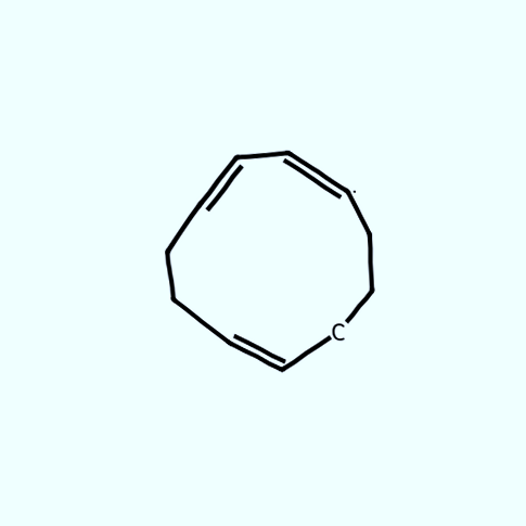 [C]1=CC=CCCC=CCCC1